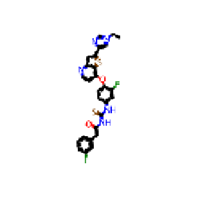 CCn1cnc(-c2cc3nccc(Oc4ccc(NC(=S)NC(=O)Cc5cccc(F)c5)cc4F)c3s2)c1